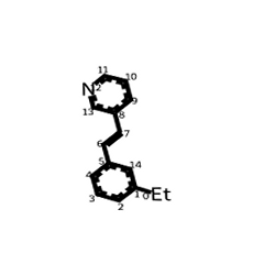 CCc1cccc(C=Cc2cccnc2)c1